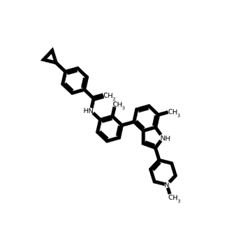 C=C(Nc1cccc(-c2ccc(C)c3[nH]c(C4=CCN(C)CC4)cc23)c1C)c1ccc(C2CC2)cc1